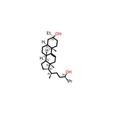 CC[C@]1(O)CC[C@]2(C)C3=CC[C@]4(C)[C@@H]([C@H](C)CC[C@@H](O)C(C)C)CC[C@H]4[C@@H]3CC[C@H]2C1